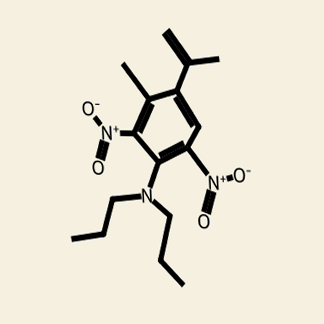 C=C(C)c1cc([N+](=O)[O-])c(N(CCC)CCC)c([N+](=O)[O-])c1C